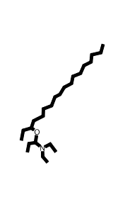 CCCCCCCCCCCCCCCC(CC)OC(CC)N(CC)CC